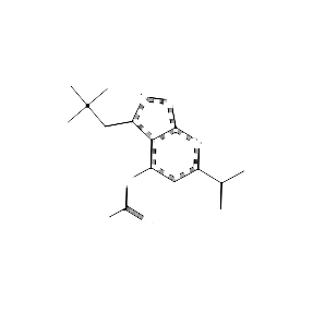 CC(C)c1cc(OC(=O)O)c2c(CC(C)(C)C)noc2n1